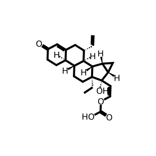 C=C[C@H]1CC2=CC(=O)CC[C@@H]2[C@H]2CC[C@@]3(CC)[C@@H]([C@@H]4C[C@@H]4[C@@]3(O)/C=C\OC(=O)O)[C@@H]21